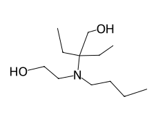 CCCCN(CCO)C(CC)(CC)CO